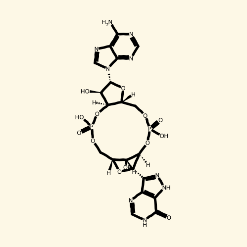 Nc1ncnc2c1ncn2[C@@H]1O[C@@H]2COP(=O)(O)O[C@@H]3[C@H](O)[C@@H](COP(=O)(O)O[C@H]2[C@H]1O)O[C@H]3c1n[nH]c2c(=O)[nH]cnc12